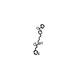 O=C(CCc1cccnc1)NCCCCC1CCN(C(=O)c2ccccc2)CC1